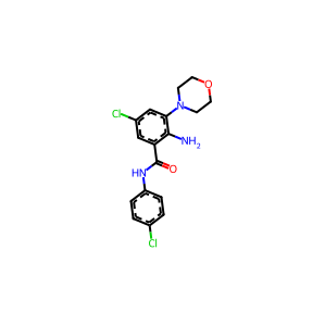 Nc1c(C(=O)Nc2ccc(Cl)cc2)cc(Cl)cc1N1CCOCC1